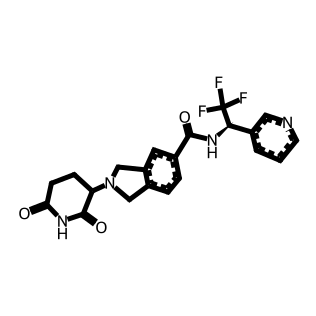 O=C1CCC(N2Cc3ccc(C(=O)N[C@H](c4cccnc4)C(F)(F)F)cc3C2)C(=O)N1